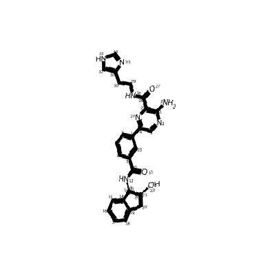 Nc1ncc(-c2cccc(C(=O)N[C@@H]3c4ccccc4C[C@@H]3O)c2)nc1C(=O)NCCc1c[nH]cn1